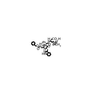 CC(C)[C@H](NC(=O)[C@H](Cc1c[nH]c2ccccc12)NC(=O)CNC(=O)OCc1ccccc1)C(=O)N[C@H](/C=C/S(C)(=O)=O)CC(=O)O